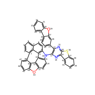 c1cc2c3c(c1)ccc1c3c3c4c(ccc3n1-c1nc3c(nc1-c1ccc5c(c1)oc1ccccc15)sc1ccccc13)oc1cccc-2c14